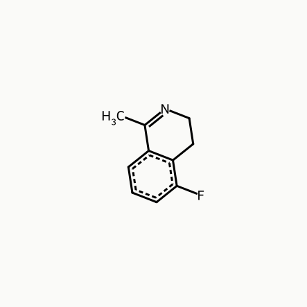 CC1=NCCc2c(F)cccc21